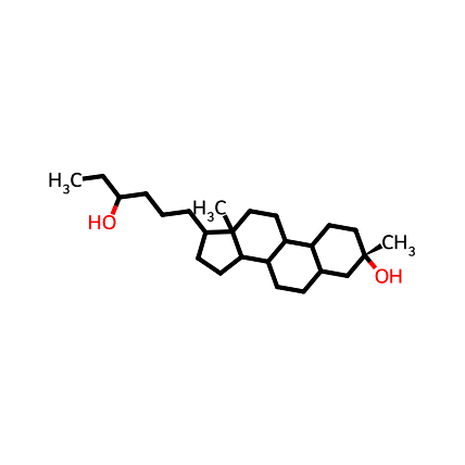 CCC(O)CCCC1CCC2C3CCC4C[C@@](C)(O)CCC4C3CCC12C